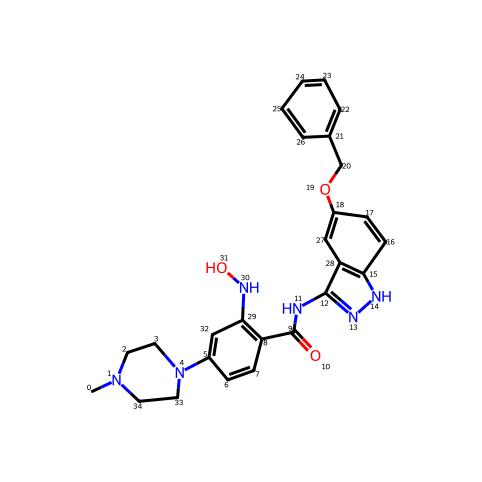 CN1CCN(c2ccc(C(=O)Nc3n[nH]c4ccc(OCc5ccccc5)cc34)c(NO)c2)CC1